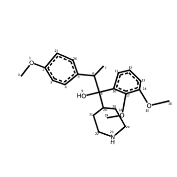 COc1ccc(C(C)C(O)(c2cccc(OC)c2OC)C2CCNCC2)cc1